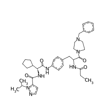 CCC(=O)NC(Cc1ccc(NC(=O)[C@@H](NC(=O)c2ccnn2C(C)C)C2CCCC2)cc1)C(=O)N1CCN(Cc2ccccc2)CC1